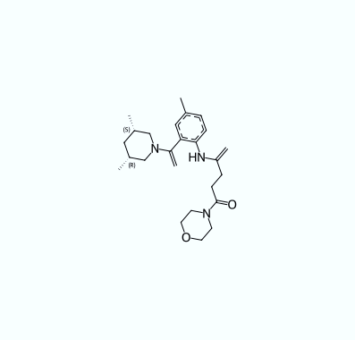 C=C(CCC(=O)N1CCOCC1)Nc1ccc(C)cc1C(=C)N1C[C@H](C)C[C@H](C)C1